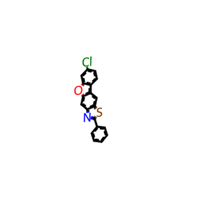 Clc1ccc2c(c1)oc1cc3nc(-c4ccccc4)sc3cc12